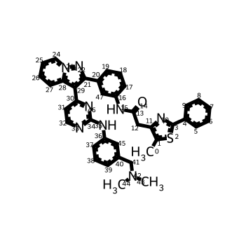 Cc1sc(-c2ccccc2)nc1CC(=O)Nc1cccc(-c2nn3ccccc3c2-c2ccnc(Nc3cccc(CN(C)C)c3)n2)c1